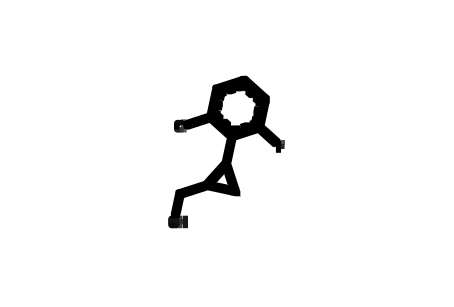 OCC1CC1c1c(F)cccc1Cl